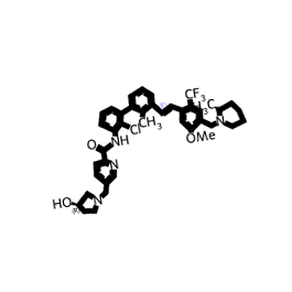 COc1cc(/C=C/c2cccc(-c3cccc(NC(=O)c4ccc(CN5CC[C@@H](O)C5)cn4)c3Cl)c2C)c(C(F)(F)F)cc1CN1CCCC[C@H]1C